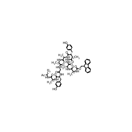 CC(=O)[C@H](C)NC(=O)[C@H](C)NC(=O)[C@H](Cc1ccc(O)cc1)NC(=O)CNC(=O)[C@H](C)NC(=O)[C@H](C)NC(=O)[C@H](Cc1ccc(O)cc1)[C@H](C)C(=O)NNC(=O)[C@H](C)NC(=O)[C@H](C)NC(=O)OCC1c2ccccc2-c2ccccc21